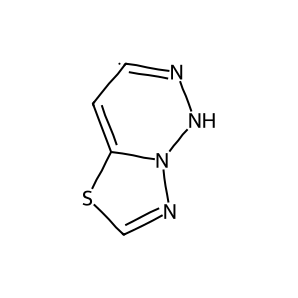 [C]1=NNN2N=CSC2=C1